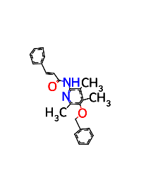 Cc1nc(NC(=O)C=Cc2ccccc2)c(C)c(C)c1OCc1ccccc1